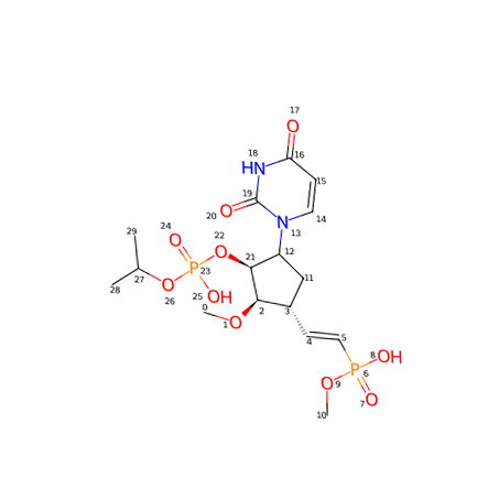 CO[C@@H]1[C@@H](/C=C/P(=O)(O)OC)CC(n2ccc(=O)[nH]c2=O)[C@@H]1OP(=O)(O)OC(C)C